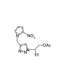 CCC(COC(C)=O)n1cc(Cn2cccc2[N+](=O)[O-])nn1